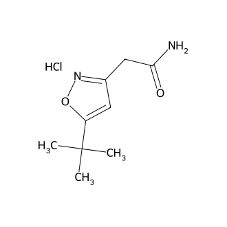 CC(C)(C)c1cc(CC(N)=O)no1.Cl